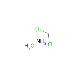 ClCCl.N.O